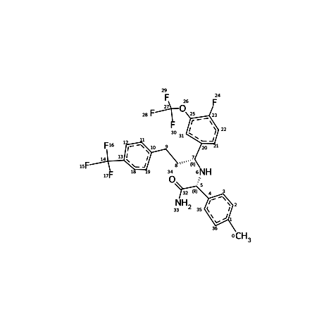 Cc1ccc([C@@H](N[C@H](CCc2ccc(C(F)(F)F)cc2)c2ccc(F)c(OC(F)(F)F)c2)C(N)=O)cc1